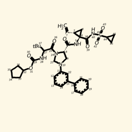 C=C[C@@H]1C[C@]1(NC(=O)[C@@H]1CN(c2cccc(-c3ccccc3)c2)CN1C(=O)C(NC(=O)OC1CCCC1)C(C)(C)C)C(=O)NS(=O)(=O)C1CC1